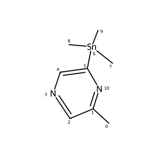 Cc1cnc[c]([Sn]([CH3])([CH3])[CH3])n1